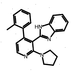 Cc1ccccc1-c1ccnc(N2CCCC2)c1-c1nc2ccccc2[nH]1